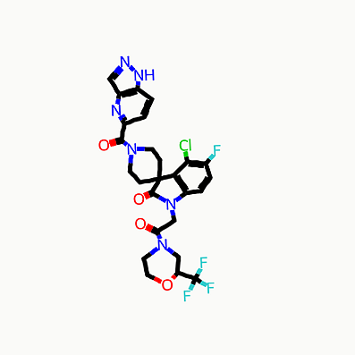 O=C(CN1C(=O)C2(CCN(C(=O)c3ccc4[nH]ncc4n3)CC2)c2c1ccc(F)c2Cl)N1CCOC(C(F)(F)F)C1